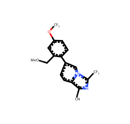 COCc1cc(OC(F)(F)F)ccc1-c1ccc2c(C#N)nc(C(F)(F)F)n2c1